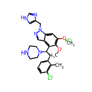 COc1cc2c(cnn2Cc2c[nH]cn2)c(C(Cc2cccc(Cl)c2C)N2CCNCC2)c1OC.Cl